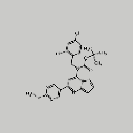 CSc1ncc(-c2cc(N(Cc3ccc(Cl)cc3Cl)C(=O)OC(C)(C)C)n3nccc3n2)cn1